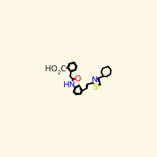 O=C(Cc1ccccc1C(=O)O)Nc1cccc(/C=C/c2nc(C3CCCCCC3)cs2)c1